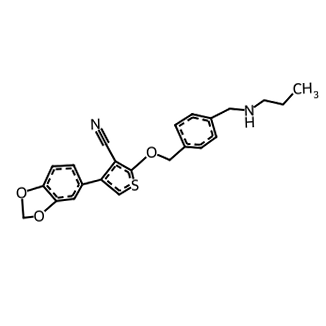 CCCNCc1ccc(COc2scc(-c3ccc4c(c3)OCO4)c2C#N)cc1